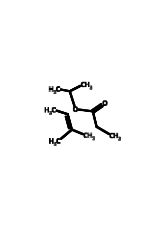 CC=C(C)C.CCC(=O)OC(C)C